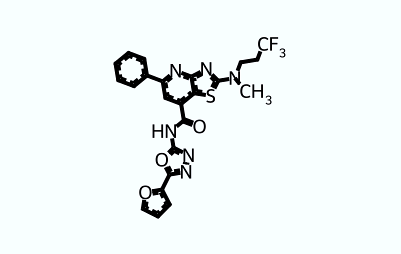 CN(CCC(F)(F)F)c1nc2nc(-c3ccccc3)cc(C(=O)Nc3nnc(-c4ccco4)o3)c2s1